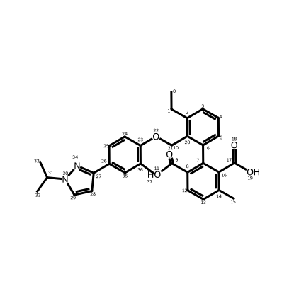 CCc1cccc(-c2c(C(=O)O)ccc(C)c2C(=O)O)c1COc1ccc(-c2ccn(C(C)C)n2)cc1C